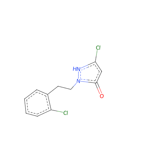 O=c1cc(Cl)[nH]n1CCc1ccccc1Cl